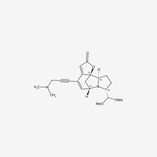 COC(OC)[C@H]1CC[C@H]2N1[C@@H]1C=C(C#CCN(C)C)C3=CC(=O)O[C@@]32C1